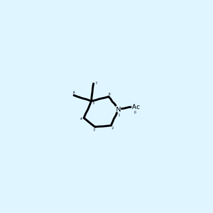 CC(=O)N1CCCC(C)(C)C1